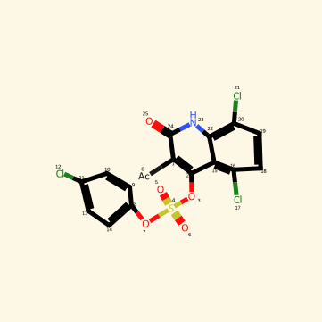 CC(=O)c1c(OS(=O)(=O)Oc2ccc(Cl)cc2)c2c(Cl)ccc(Cl)c2[nH]c1=O